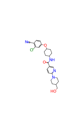 N#Cc1ccc(OC2CCC(NC(=O)c3ccc(N4CCC(CO)CC4)nc3)CC2)cc1Cl